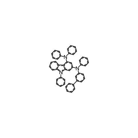 c1ccc(-c2cccc(N(c3ccccc3)c3cc(N(c4ccccc4)c4ccccc4)c4c5ccccc5n(-c5ccccc5)c4c3)c2)cc1